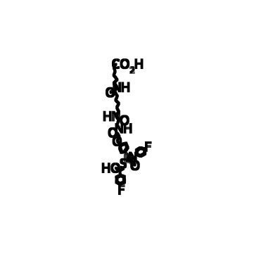 O=C(O)CCCCCNC(=O)CCCCCNC(=O)CNC(=O)COc1ccc([C@@H]2[C@@H](SCC(O)c3ccc(F)cc3)C(=O)N2c2ccc(F)cc2)cc1